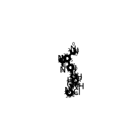 Cn1cc(-c2cc(-c3ccc(N4C[C@@H]5C[C@](C)(NC(=O)c6ncccc6Cl)C[C@@H]5C4)nc3)c3c(C#N)cnn3c2)cn1